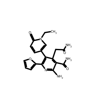 CCn1cc(-c2c(-c3ccco3)nc(N)c(C(N)=O)c2CC(N)=O)ccc1=O